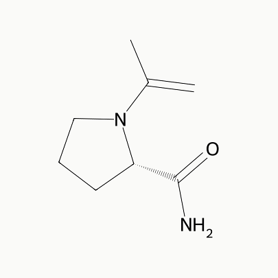 C=C(C)N1CCC[C@H]1C(N)=O